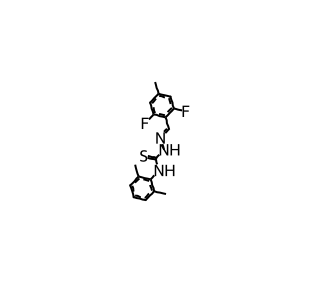 Cc1cc(F)c(/C=N/NC(=S)Nc2c(C)cccc2C)c(F)c1